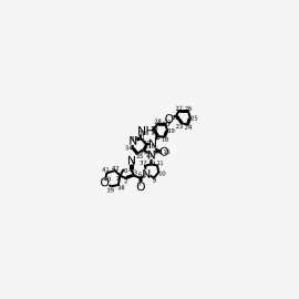 CC1(C=C(C#N)C(=O)N2CCCC(n3c(=O)n(-c4ccc(Oc5ccccc5)cc4)c4c(N)nccc43)C2)CCOCC1